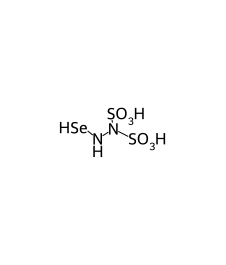 O=S(=O)(O)N(N[SeH])S(=O)(=O)O